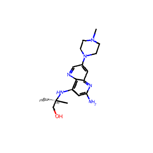 CCCC[C@](C)(CO)Nc1cc(N)nc2cc(N3CCN(C)CC3)cnc12